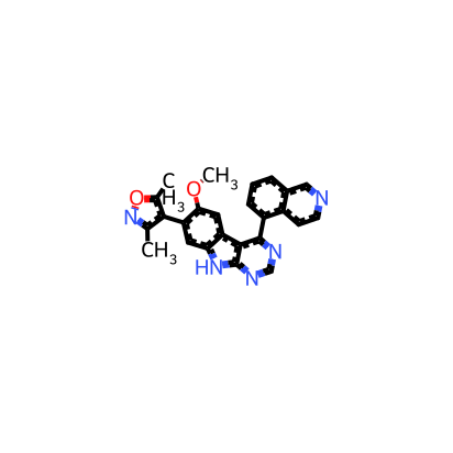 COc1cc2c(cc1-c1c(C)noc1C)[nH]c1ncnc(-c3cccc4cnccc34)c12